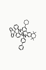 CC1(C)CCC(C)(C)c2cc3c(cc21)-c1cc(C2CCCCC2)cc2c1B(c1cccc4c1N2c1ccccc1C41c2ccccc2-c2ccccc21)N3c1ccc(-c2ccccc2)cc1